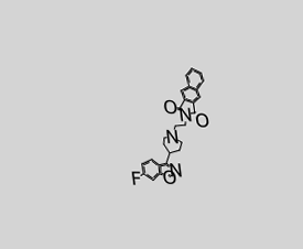 O=C1c2cc3ccccc3cc2C(=O)N1CCN1CCC(c2noc3cc(F)ccc23)CC1